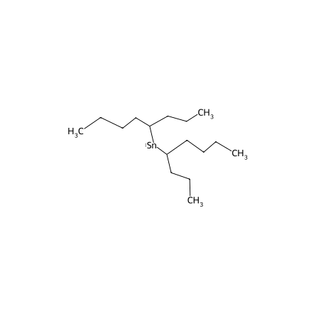 CCCC[CH](CCC)[Sn][CH](CCC)CCCC